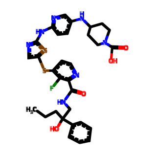 CCCC(O)(CNC(=O)c1nccc(Sc2cnc(Nc3ccc(NC4CCN(C(=O)O)CC4)cn3)s2)c1F)c1ccccc1